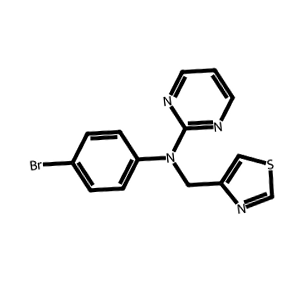 Brc1ccc(N(Cc2cscn2)c2ncccn2)cc1